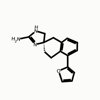 NC1=N[C@@]2(CCc3c(cccc3-c3ccco3)C2)CN1